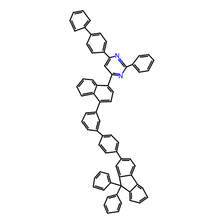 c1ccc(-c2ccc(-c3cc(-c4ccc(-c5cccc(-c6ccc(-c7ccc8c(c7)C(c7ccccc7)(c7ccccc7)c7ccccc7-8)cc6)c5)c5ccccc45)nc(-c4ccccc4)n3)cc2)cc1